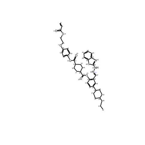 C=CC(=O)OCCOc1ccc(OC(=O)C2CCC(C(=O)Oc3ccc(C4CCC(CCC)CC4)cc3/C=N/Nc3nc4ccccc4s3)CC2)cc1